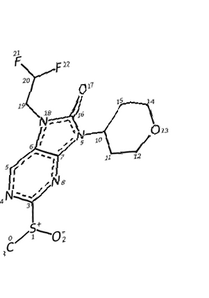 C[S+]([O-])c1ncc2c(n1)n(C1CCOCC1)c(=O)n2CC(F)F